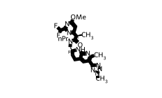 CCCN(C[C@H]1CCc2cc(-c3nnn(C)n3)c(C)nc2N1)C(=O)[C@H](C)c1cc(OC)nc(C(F)F)n1